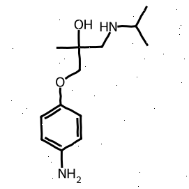 CC(C)NCC(C)(O)COc1ccc(N)cc1